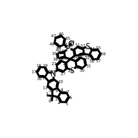 CC1(C)c2ccccc2-c2cc3c(cc21)c1ccccc1n3-c1ccc2c(c1)Sc1ccccc1C21c2ccccc2P(=O)(c2ccccc2)c2cc3sc4ccccc4c3cc21